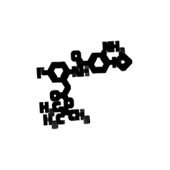 CC(C)(C)OC(=O)Cc1cc(F)ccc1NC(=O)c1ccc(N2CCC2)c(N)c1